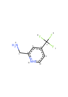 NCc1cc(C(F)(F)F)ccn1